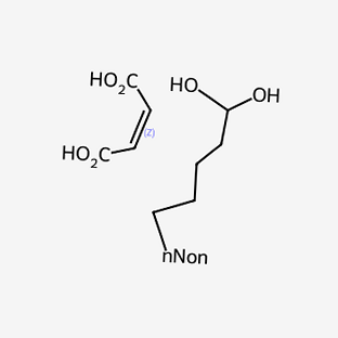 CCCCCCCCCCCCCC(O)O.O=C(O)/C=C\C(=O)O